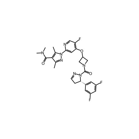 Cc1nn(-c2cc(OC3CN(C(=O)N4N=CC[C@H]4c4cc(F)cc(F)c4)C3)c(F)cn2)c(C)c1C(=O)N(C)C